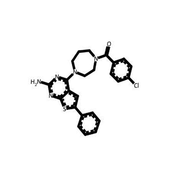 Nc1nc(N2CCCN(C(=O)c3ccc(Cl)cc3)CC2)c2cc(-c3ccccc3)sc2n1